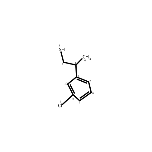 CC(CS)c1cccc(Cl)c1